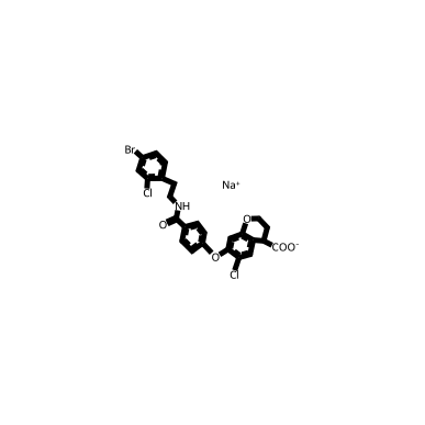 O=C(NCCc1ccc(Br)cc1Cl)c1ccc(Oc2cc3c(cc2Cl)C(C(=O)[O-])CCO3)cc1.[Na+]